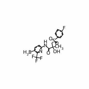 Bc1ccc(NC(=O)[C@@](C)(O)CS(=O)(=O)c2ccc(F)cc2)nc1C(F)(F)F